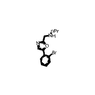 CCCNCc1ncc(-c2ccccc2Br)o1